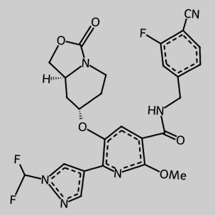 COc1nc(-c2cnn(C(F)F)c2)c(O[C@H]2CCN3C(=O)OC[C@@H]3C2)cc1C(=O)NCc1ccc(C#N)c(F)c1